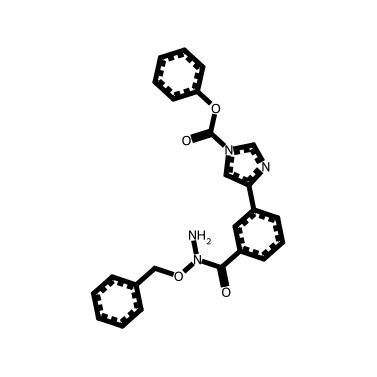 NN(OCc1ccccc1)C(=O)c1cccc(-c2cn(C(=O)Oc3ccccc3)cn2)c1